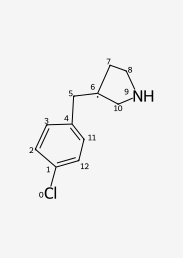 Clc1ccc(C[C]2CCNC2)cc1